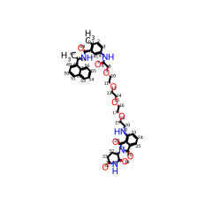 Cc1ccc(NC(=O)COCCOCCOCCOCCNc2cccc3c2C(=O)N(C2CCC(=O)NC2=O)C3=O)cc1C(=O)N[C@H](C)c1cccc2ccccc12